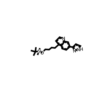 CC(C)(C)[Si](C)(C)OCCCCc1ccnc2cc(-c3cc[nH]n3)ccc12